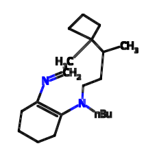 C=NC1=C(N(CCCC)CCC(C)C2(C)CCC2)CCCC1